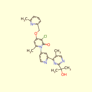 Cc1cccc(COc2cc(C)n(-c3ccnc(-c4nc(C(C)(C)O)ncc4C)c3)c(=O)c2Cl)n1